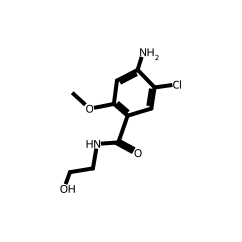 COc1cc(N)c(Cl)cc1C(=O)NCCO